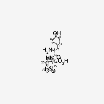 N[C@@H](Cc1ccc(O)cc1)C(=O)N[C@@]1(C(=O)O)CS(=O)(=O)[C@H]2C[C@H]21